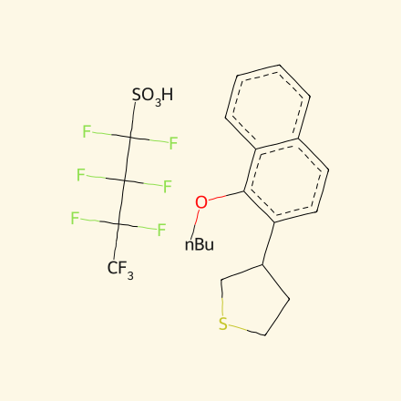 CCCCOc1c(C2CCSC2)ccc2ccccc12.O=S(=O)(O)C(F)(F)C(F)(F)C(F)(F)C(F)(F)F